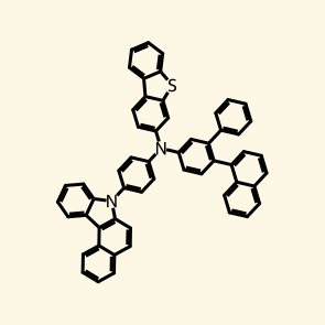 c1ccc(-c2cc(N(c3ccc(-n4c5ccccc5c5c6ccccc6ccc54)cc3)c3ccc4c(c3)sc3ccccc34)ccc2-c2cccc3ccccc23)cc1